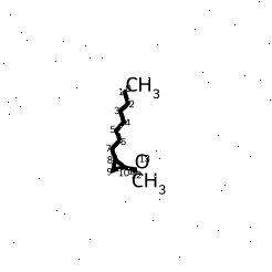 CCCCCCCCC1CC1C(C)=O